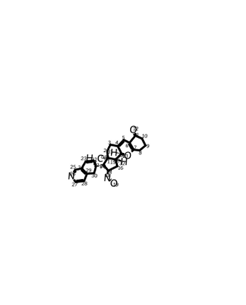 C[C@]12CCC3=CC4=C(CCCC4=O)O[C@H]3[C@@H]1C[C@@H](N=O)[C@@H]2C1C=Cc2cnccc2C1